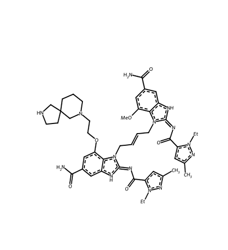 CCn1nc(C)cc1C(=O)/N=c1/[nH]c2cc(C(N)=O)cc(OC)c2n1C/C=C/Cn1/c(=N/C(=O)c2cc(C)nn2CC)[nH]c2cc(C(N)=O)cc(OCCN3CCCC4(CCNC4)C3)c21